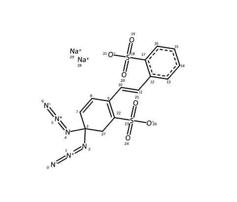 [N-]=[N+]=NC1(N=[N+]=[N-])C=CC(C=Cc2ccccc2S(=O)(=O)[O-])=C(S(=O)(=O)[O-])C1.[Na+].[Na+]